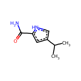 CC(C)c1c[nH]c(C(N)=O)c1